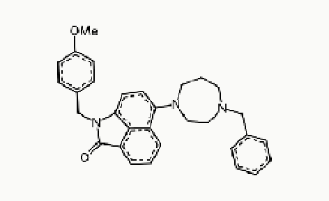 COc1ccc(CN2C(=O)c3cccc4c(N5CCCN(Cc6ccccc6)CC5)ccc2c34)cc1